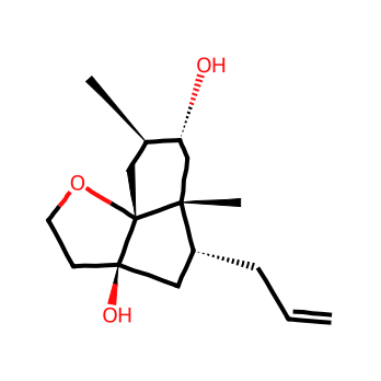 C=CC[C@@H]1C[C@]2(O)CCO[C@@]23C[C@@H](C)[C@H](O)C[C@]13C